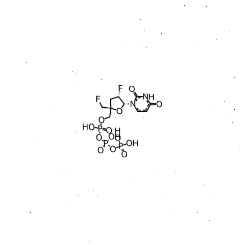 O=c1ccn([C@@H]2O[C@](CF)(COP(=O)(O)OP(=O)(O)OP(=O)(O)O)C[C@@H]2F)c(=O)[nH]1